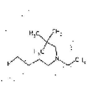 CCN(CCCCF)CC(C)(C)C